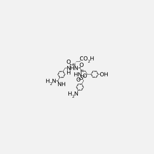 N=C(N)c1ccc(CNC(=O)[C@H](CCC(=O)O)NC(=O)[C@@H](CCc2ccc(O)cc2)NS(=O)(=O)Cc2ccc(N)cc2)cc1